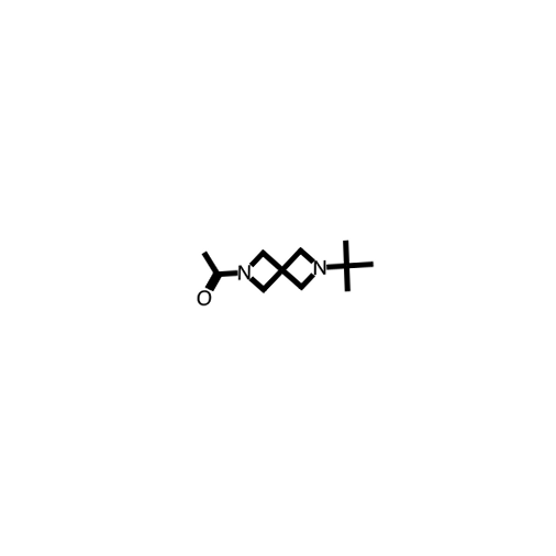 CC(=O)N1CC2(C1)CN(C(C)(C)C)C2